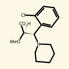 COC(C(=O)O)[C@H](c1ccccc1Cl)N1CCCCC1